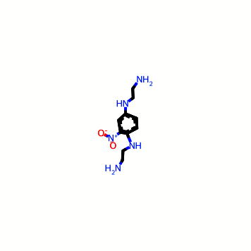 NCCNc1ccc(NCCN)c([N+](=O)[O-])c1